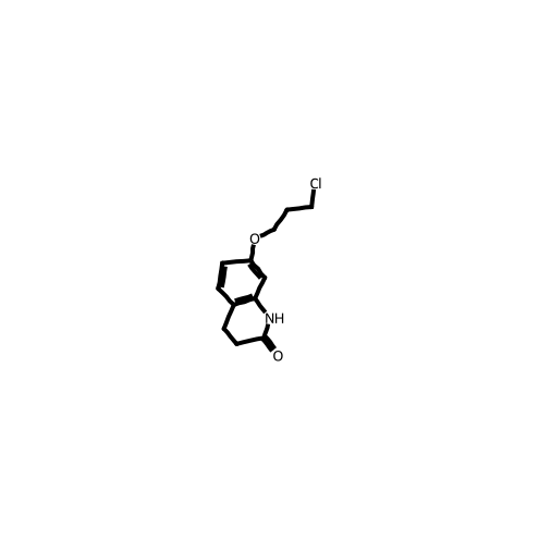 O=C1CCc2ccc(OCCCCl)cc2N1